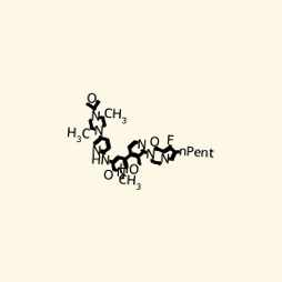 CCCCCc1cn2c(c1F)C(=O)N(c1nccc(-c3cc(Nc4ccc(N5C[C@@H](C)N(C6COC6)C[C@@H]5C)cn4)c(=O)n(C)c3)c1CO)CC2